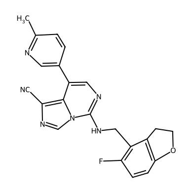 Cc1ccc(-c2cnc(NCc3c(F)ccc4c3CCO4)n3cnc(C#N)c23)cn1